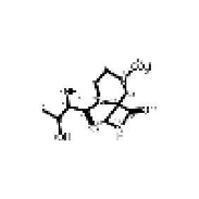 CC(O)C(N)C(=O)N1CCN(C(=O)O)CC12CNC2=O